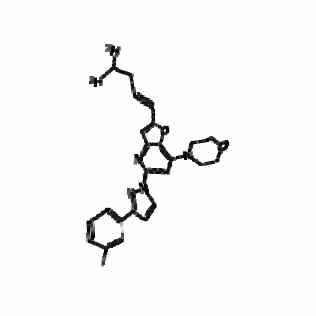 [2H]C([2H])C/C=C/c1cc2nc(-n3ccc(-c4cccc(C)c4)n3)cc(N3CCOCC3)c2o1